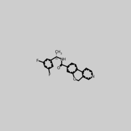 C[C@H](NC(=O)c1ccc2c(c1)OCc1cnccc1-2)c1cc(F)cc(F)c1